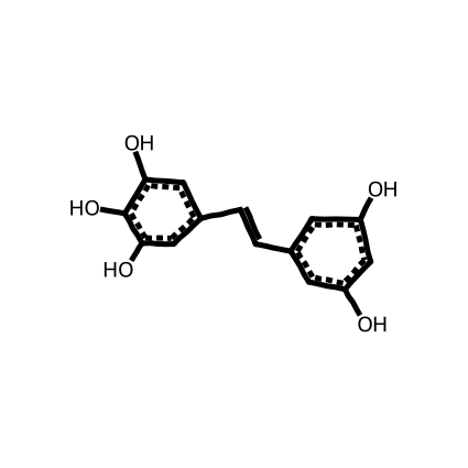 Oc1cc(O)cc(C=Cc2cc(O)c(O)c(O)c2)c1